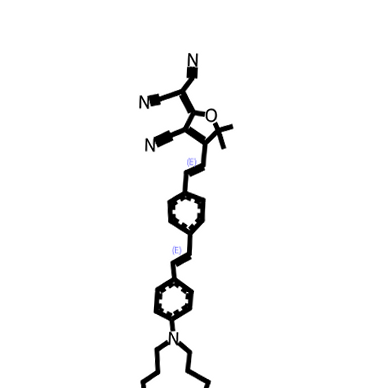 CCCCN(CCCC)c1ccc(/C=C/c2ccc(/C=C/C3=C(C#N)C(=C(C#N)C#N)OC3(C)C)cc2)cc1